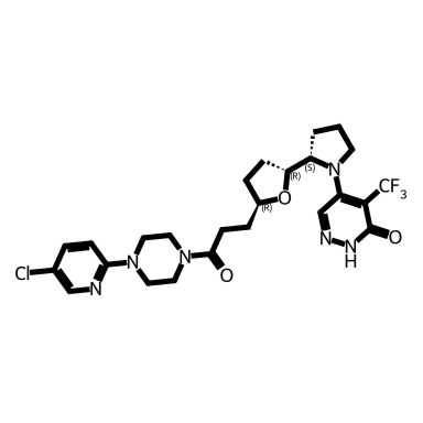 O=C(CC[C@H]1CC[C@H]([C@@H]2CCCN2c2cn[nH]c(=O)c2C(F)(F)F)O1)N1CCN(c2ccc(Cl)cn2)CC1